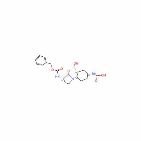 O=C(O)N[C@@H]1CC[C@H](N2CC[C@H](NC(=O)OCc3ccccc3)C2=O)[C@H](CO)C1